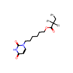 CCC(CC(C)C)(C(=O)OCCCCCCn1ccc(=O)[nH]c1=O)C(C)C